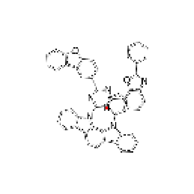 c1ccc(-c2nc3cccc(-c4nc(-c5ccc6oc7ccccc7c6c5)nc(-n5c6ccccc6c6ccc7c8ccccc8n(-c8ccccc8)c7c65)n4)c3o2)cc1